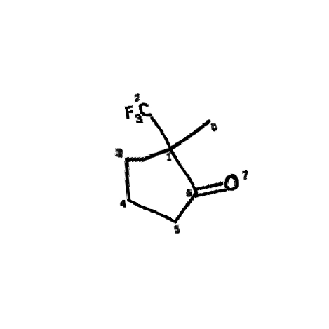 CC1(C(F)(F)F)CCCC1=O